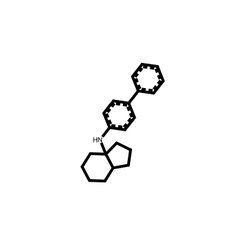 c1ccc(-c2ccc(NC34CCCCC3CCC4)cc2)cc1